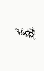 C=C=CC(=O)Nc1ccc2c(C(F)(F)F)cc(=O)oc2c1